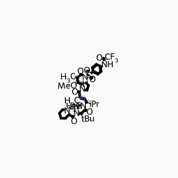 CO[C@H]([C@@H](C)C(=O)NS(=O)(=O)c1ccc(NC(=O)C(F)(F)F)cc1)[C@@H]1CCCN1C(=O)/C(C)=C/[C@H](C(C)C)N(C)C(=O)[C@@H](NC(=O)C1CCCCN1C(C)C)C(C)(C)C